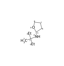 CCC(C)(CC)NC1CCCO1